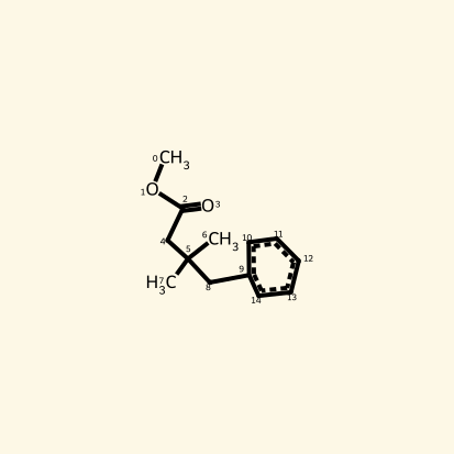 COC(=O)CC(C)(C)Cc1ccccc1